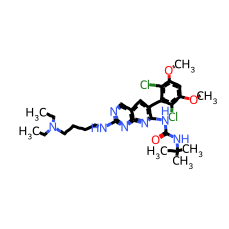 CCN(CC)CCCCNc1ncc2cc(-c3c(Cl)c(OC)cc(OC)c3Cl)c(NC(=O)NC(C)(C)C)nc2n1